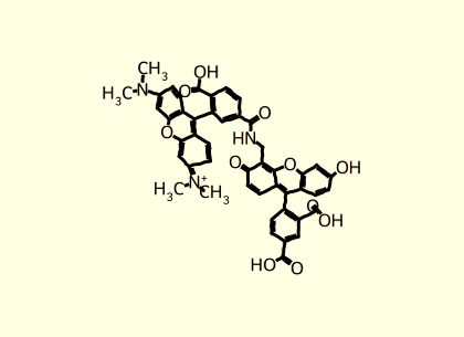 CN(C)c1ccc2c(-c3cc(C(=O)NCc4c5oc6cc(O)ccc6c(-c6ccc(C(=O)O)cc6C(=O)O)c-5ccc4=O)ccc3C(=O)O)c3ccc(=[N+](C)C)cc-3oc2c1